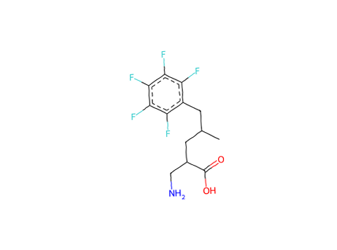 CC(Cc1c(F)c(F)c(F)c(F)c1F)CC(CN)C(=O)O